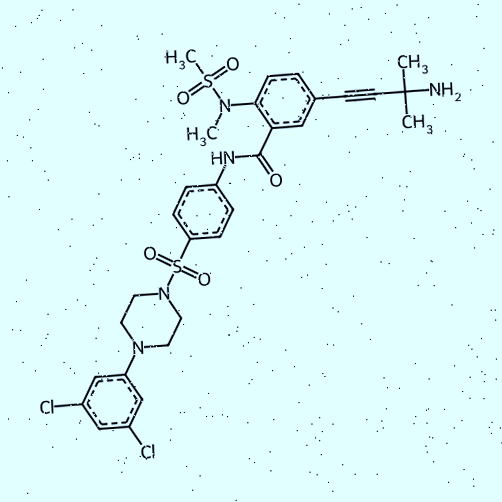 CN(c1ccc(C#CC(C)(C)N)cc1C(=O)Nc1ccc(S(=O)(=O)N2CCN(c3cc(Cl)cc(Cl)c3)CC2)cc1)S(C)(=O)=O